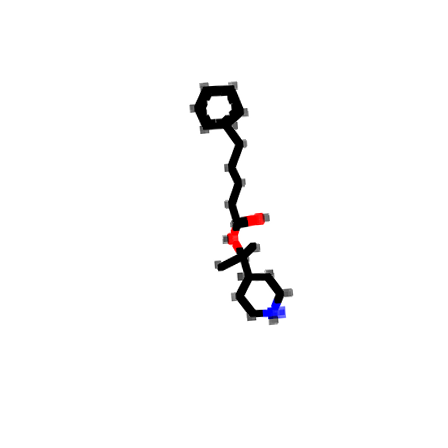 CC(C)(OC(=O)CCCCc1ccccc1)C1CCNCC1